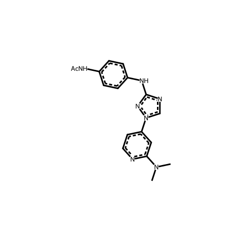 CC(=O)Nc1ccc(Nc2ncn(-c3ccnc(N(C)C)c3)n2)cc1